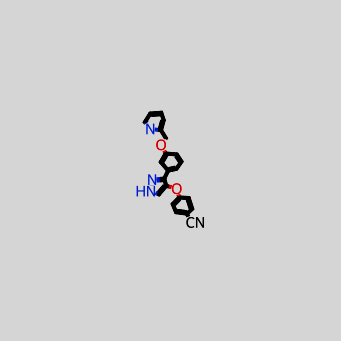 N#Cc1ccc(Oc2c[nH]nc2-c2cccc(OCc3ccccn3)c2)cc1